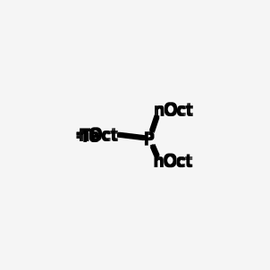 CCCCCCCCP(CCCCCCCC)CCCCCCCC.[Te]